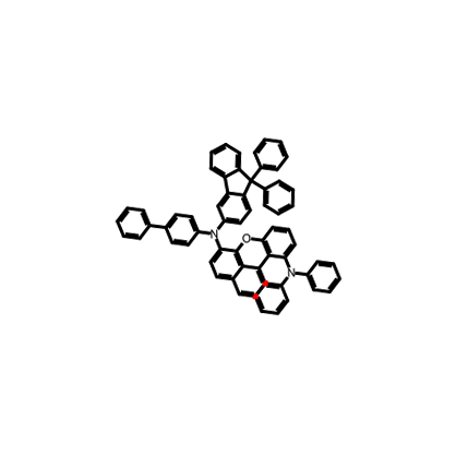 c1ccc(-c2ccc(N(c3ccc4c(c3)-c3ccccc3C4(c3ccccc3)c3ccccc3)c3ccc4cccc5c4c3Oc3cccc(N(c4ccccc4)c4ccccc4)c3-5)cc2)cc1